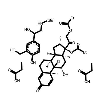 CC(C)(C)NCC(O)c1ccc(O)c(CO)c1.CCC(=O)O.CCC(=O)O.CCC(=O)OCC(=O)[C@@]1(OC(=O)CC)[C@@H](C)C[C@H]2[C@@H]3CCC4=CC(=O)C=C[C@]4(C)C3(Cl)[C@@H](O)C[C@@]21C